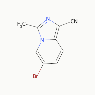 N#Cc1nc(C(F)(F)F)n2cc(Br)ccc12